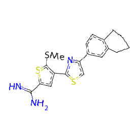 CSc1sc(C(=N)N)cc1-c1nc(-c2ccc3c(c2)CCCC3)cs1